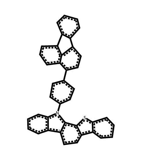 c1ccc2c(c1)-c1cccc3c(-c4ccc(-n5c6ccccc6c6ccc7c8ccccc8sc7c65)cc4)ccc-2c13